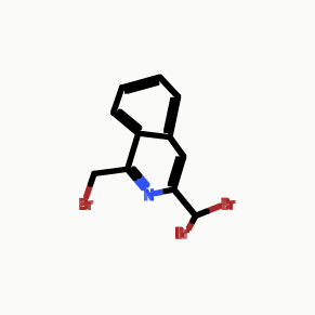 BrCc1nc(C(Br)Br)cc2ccccc12